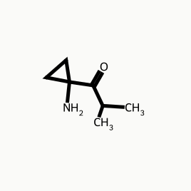 CC(C)C(=O)C1(N)CC1